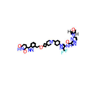 Cn1nc(C2CCC(=O)NC2=O)c2cccc(CCOC3CC4(CCN(CC5CCC(n6cc(NC(=O)c7cnn8ccc(N9C[C@H]%10C[C@@H]9CO%10)nc78)c(C(F)F)n6)CC5)CC4)C3)c21